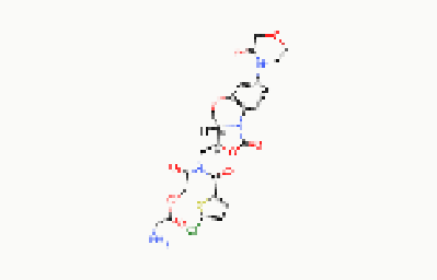 NCC(=O)OCC(=O)N(C[C@@H]1OC(=O)N2c3ccc(N4CCOCC4=O)cc3OC[C@@H]12)C(=O)c1ccc(Cl)s1